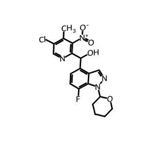 Cc1c(Cl)cnc(C(O)c2ccc(F)c3c2cnn3C2CCCCO2)c1[N+](=O)[O-]